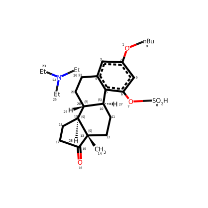 CCCCOc1cc2c(c(OS(=O)(=O)O)c1)[C@H]1CC[C@]3(C)C(=O)CC[C@H]3[C@@H]1CC2.CCN(CC)CC